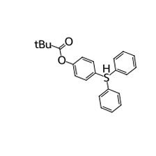 CC(C)(C)C(=O)Oc1ccc([SH](c2ccccc2)c2ccccc2)cc1